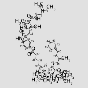 CCN(CC)CCNC(=O)c1c(C)[nH]c(/C=C2\C(=O)Nc3ccc(OC(=O)CCC/C=C\C[C@@H]4[C@@H](CC[C@H](C)CCc5ccccc5)[C@H](O[Si](C)(C)C(C)(C)C)C[C@@H]4[Si](C)(C)C(C)(C)C)cc32)c1O